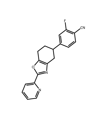 N#Cc1ccc(C2CCc3oc(-c4ccccn4)nc3C2)cc1F